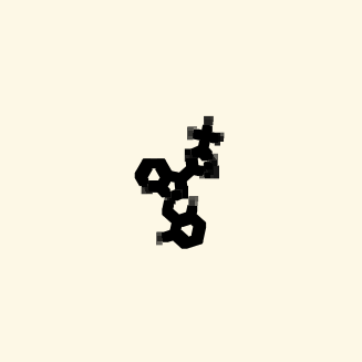 Fc1cccc(F)c1Cn1nc(-c2nc(C(F)(F)F)n[nH]2)c2cccnc21